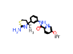 CC(C)Oc1c#cc(C(=O)Nc2cccc(C3(C)CCSC(N)=N3)c2)nc1